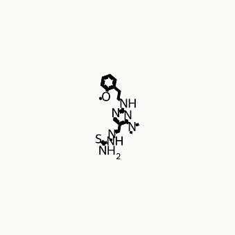 COc1ccccc1CCNc1ncc(C=NNC(N)=S)c(N(C)C)n1